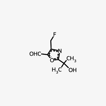 CC(C)(O)c1nc(CF)c(C=O)o1